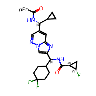 CCCC(=O)N[C@@H](c1cnn2cc([C@@H](NC(=O)[C@H]3C[C@@H]3F)C3CCC(F)(F)CC3)nc2c1)C1CC1